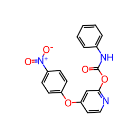 O=C(Nc1ccccc1)Oc1cc(Oc2ccc([N+](=O)[O-])cc2)ccn1